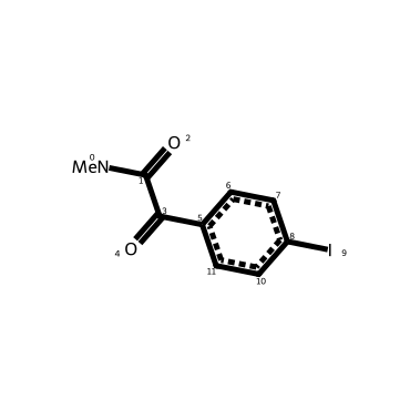 CNC(=O)C(=O)c1ccc(I)cc1